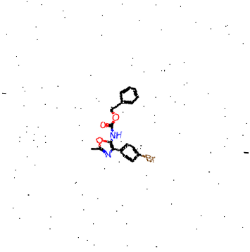 Cc1nc(-c2ccc(Br)cc2)c(NC(=O)OCc2ccccc2)o1